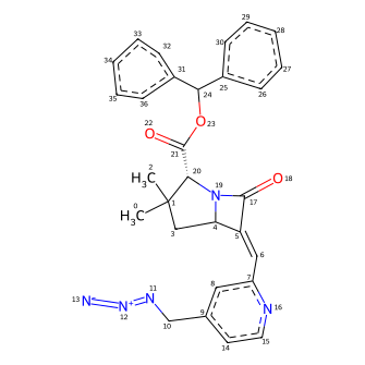 CC1(C)CC2/C(=C\c3cc(CN=[N+]=[N-])ccn3)C(=O)N2[C@H]1C(=O)OC(c1ccccc1)c1ccccc1